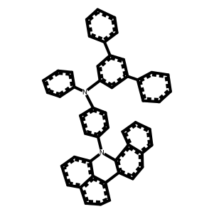 c1ccc(-c2cc(-c3ccccc3)cc(N(c3ccccc3)c3ccc(N4c5c(ccc6ccccc56)-c5cccc6cccc4c56)cc3)c2)cc1